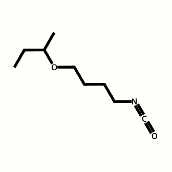 CCC(C)OCCCCN=C=O